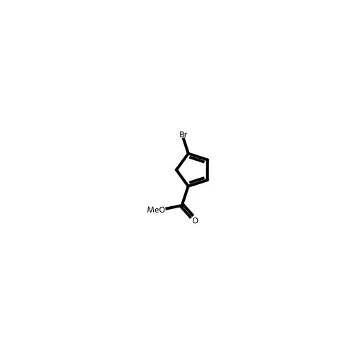 COC(=O)C1=CC=C(Br)C1